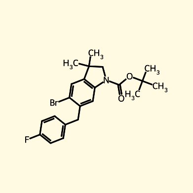 CC(C)(C)OC(=O)N1CC(C)(C)c2cc(Br)c(Cc3ccc(F)cc3)cc21